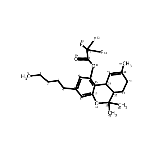 CCCCCc1cc(OC(=O)C(F)(F)F)c2c(c1)OC(C)(C)C1CCC(C)=CC21